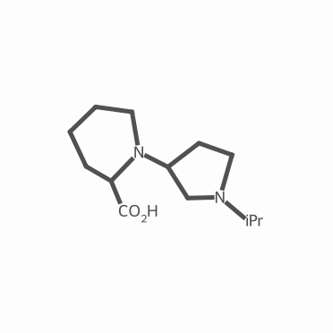 CC(C)N1CCC(N2CCCCC2C(=O)O)C1